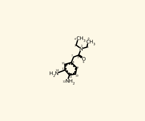 CCN(CC)C(=O)Cc1ccc(N)c(N)c1